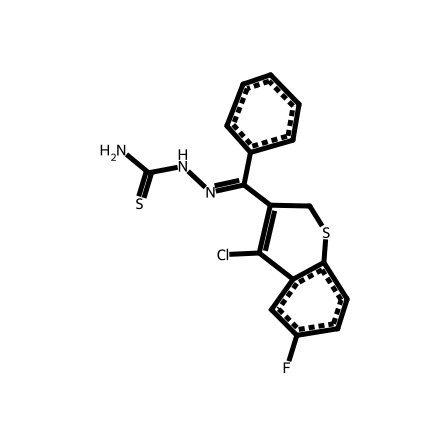 NC(=S)NN=C(C1=C(Cl)c2cc(F)ccc2SC1)c1ccccc1